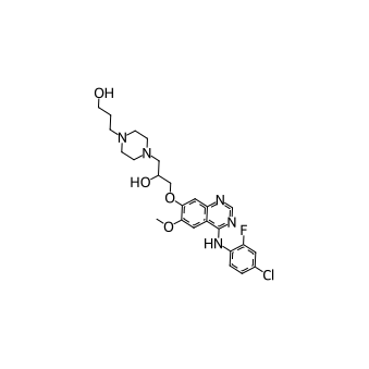 COc1cc2c(Nc3ccc(Cl)cc3F)ncnc2cc1OCC(O)CN1CCN(CCCO)CC1